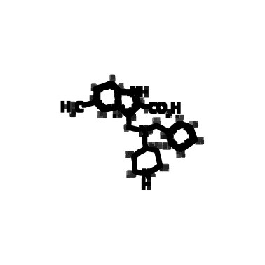 Cc1ccc2[nH]c(C(=O)O)c(CN(Cc3ccccc3)C3CCNCC3)c2c1